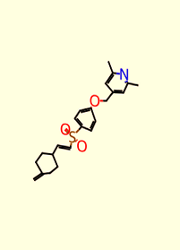 C=C1CCC(C=CS(=O)(=O)c2ccc(OCc3cc(C)nc(C)c3)cc2)CC1